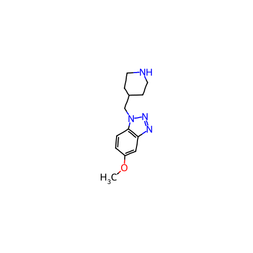 COc1ccc2c(c1)nnn2CC1CCNCC1